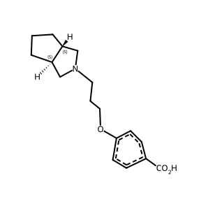 O=C(O)c1ccc(OCCCN2C[C@H]3CCC[C@@H]3C2)cc1